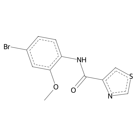 COc1cc(Br)ccc1NC(=O)c1cscn1